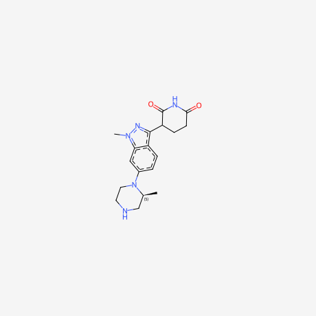 C[C@H]1CNCCN1c1ccc2c(C3CCC(=O)NC3=O)nn(C)c2c1